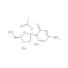 CC(=O)O[C@@]1(n2ccc(N)nc2=O)O[C@H](CO)[C@@H](O)[C@H]1O